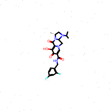 CC(C)N1C[C@@H](C)N2C(=O)c3c(O)c(=O)c(C(=O)NCc4ccc(F)cc4F)cn3CC12